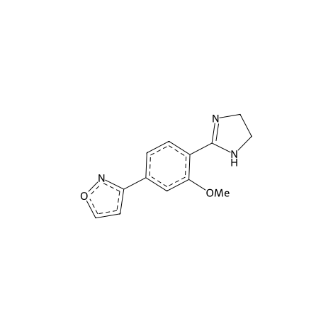 COc1cc(-c2ccon2)ccc1C1=NCCN1